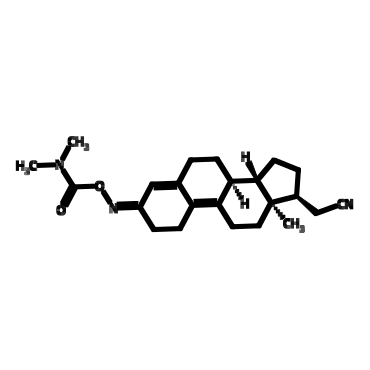 CN(C)C(=O)ON=C1C=C2CC[C@@H]3C(=C2CC1)CC[C@]1(C)[C@H](CC#N)CC[C@@H]31